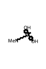 CNCCCCCCn1c(-c2ccc(O)cc2)c(C)c2cc(O)ccc21